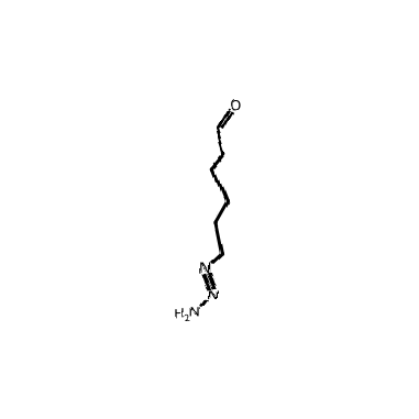 NN=NCCCCCC=O